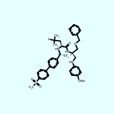 COc1ccc(NC[C@H](COCc2ccccc2)NC(=O)[C@H](CC(C)(C)F)N[C@@H](c2ccc(-c3ccc(S(C)(=O)=O)cc3)cc2)C(F)(F)F)cc1